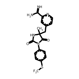 CC1(Cc2ccnc(C(=N)N)c2)NC(=O)N(c2ccc(SC(F)(F)F)cc2)C1=O